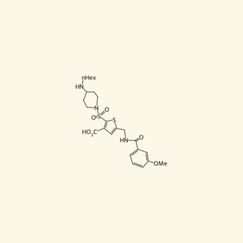 CCCCCCNC1CCN(S(=O)(=O)c2sc(CNC(=O)c3cccc(OC)c3)cc2C(=O)O)CC1